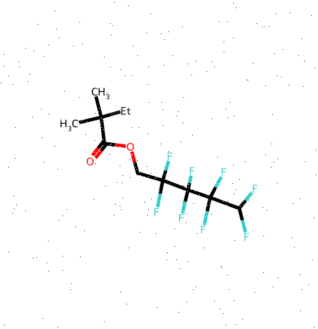 CCC(C)(C)C(=O)OCC(F)(F)C(F)(F)C(F)(F)C(F)F